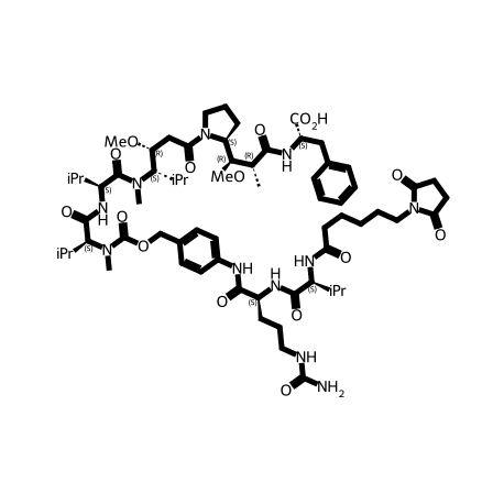 CO[C@H]([C@@H](C)C(=O)N[C@@H](Cc1ccccc1)C(=O)O)[C@@H]1CCCN1C(=O)C[C@@H](OC)[C@H](C(C)C)N(C)C(=O)[C@@H](NC(=O)[C@H](C(C)C)N(C)C(=O)OCc1ccc(NC(=O)[C@H](CCCNC(N)=O)NC(=O)[C@@H](NC(=O)CCCCCN2C(=O)CCC2=O)C(C)C)cc1)C(C)C